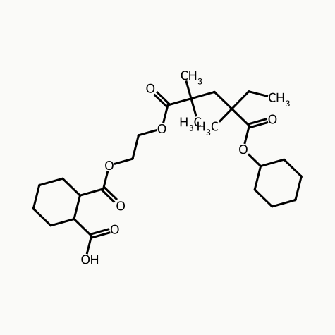 CCC(C)(CC(C)(C)C(=O)OCCOC(=O)C1CCCCC1C(=O)O)C(=O)OC1CCCCC1